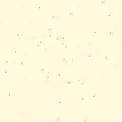 COc1ccc(C(CNC(CCN)c2ccc(C)cc2)NCCc2ccc(C)cc2)cc1